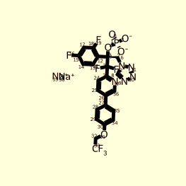 O=P([O-])([O-])O[C@@](Cn1cnnn1)(c1ccc(F)cc1F)C(F)(F)c1ccc(-c2ccc(OCC(F)(F)F)cc2)cn1.[Na+].[Na+]